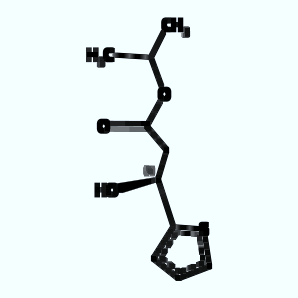 CC(C)OC(=O)C[C@H](O)c1cccs1